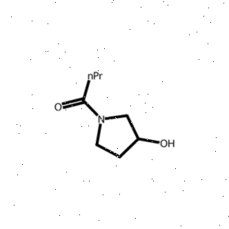 CCCC(=O)N1CCC(O)C1